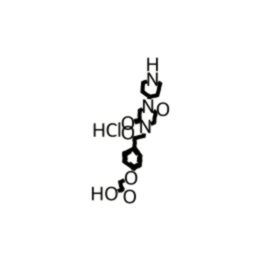 Cl.O=C(O)COc1ccc(C(=O)CN2CC(=O)N(C3CCNCC3)CC2=O)cc1